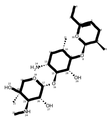 CCC1=CC[C@@H](C)[C@@H](OC2[C@@H](C)C[C@@H](N)[C@H](O[C@H]3OC[C@](C)(O)[C@H](NC)[C@H]3O)[C@H]2O)O1